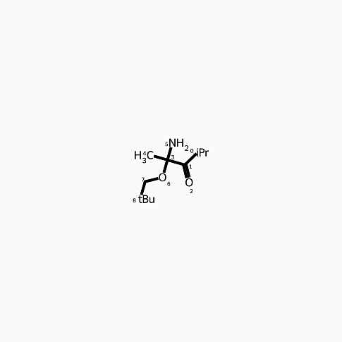 CC(C)C(=O)C(C)(N)OCC(C)(C)C